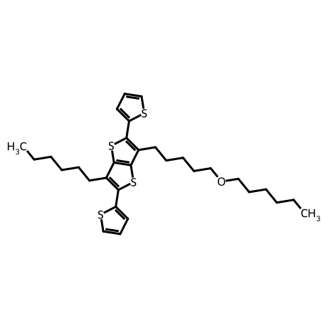 CCCCCCOCCCCCc1c(-c2cccs2)sc2c(CCCCCC)c(-c3cccs3)sc12